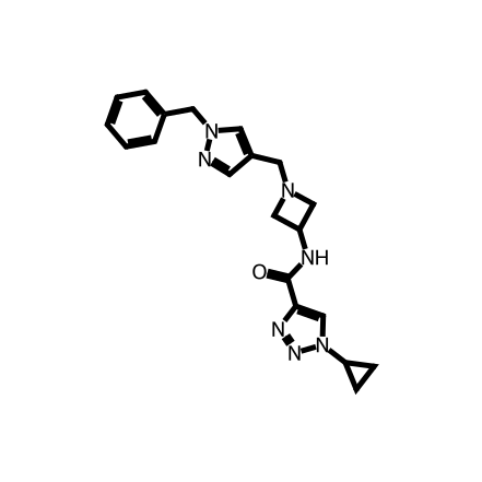 O=C(NC1CN(Cc2cnn(Cc3ccccc3)c2)C1)c1cn(C2CC2)nn1